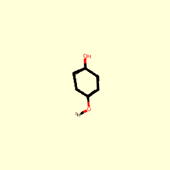 [2H]OC1CCC(O)CC1